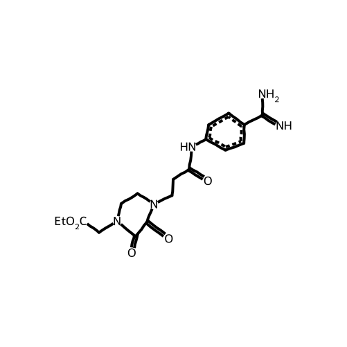 CCOC(=O)CN1CCN(CCC(=O)Nc2ccc(C(=N)N)cc2)C(=O)C1=O